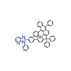 c1ccc(-c2c3ccccc3c(-c3ccccc3)c3c4c(ccc23)C(c2ccccc2)(c2ccccc2)c2ccc(-c3ccc(-c5nc6cccnc6n5-c5ccccc5)cc3)nc2-4)cc1